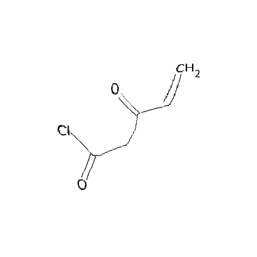 C=CC(=O)CC(=O)Cl